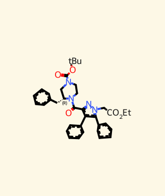 CCOC(=O)Cn1nc(C(=O)N2CCN(C(=O)OC(C)(C)C)C[C@H]2Cc2ccccc2)c(-c2ccccc2)c1-c1ccccc1